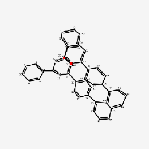 c1ccc(-c2nc(-c3ccccc3)nc(-c3ccc(-c4cccc5cccc(-c6ccc(-c7ccccn7)cc6)c45)cc3)n2)cc1